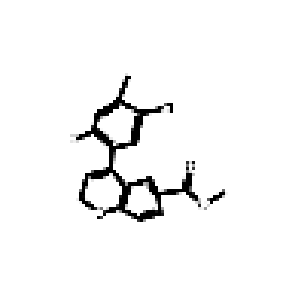 COC(=O)c1ccc2c(c1)C(c1cc(Cl)c(C)cc1F)=CCO2